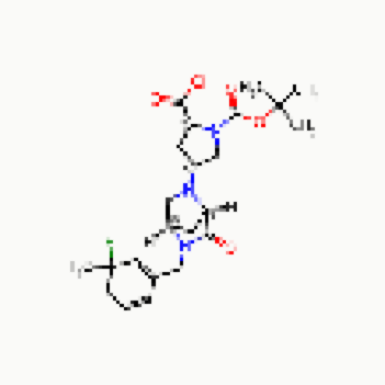 CC1(F)C=C(CN2C(=O)[C@@H]3C[C@H]2CN3[C@H]2C[C@@H](C(=O)O)N(C(=O)OC(C)(C)C)C2)C=CC1